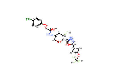 O=C(COc1ccc(Cl)cc1)N[C@@H]1CO[C@@H](c2nnc(C3CC(OC(F)(F)F)C3)o2)[C@H](F)C1